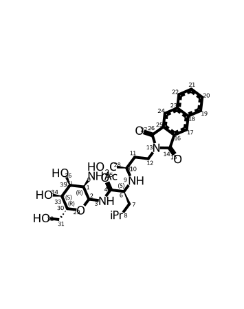 CC(=O)N[C@H]1C(NC(=O)[C@H](CC(C)C)N[C@H](CCN2C(=O)c3cc4ccccc4cc3C2=O)C(=O)O)O[C@H](CO)[C@@H](O)[C@H]1O